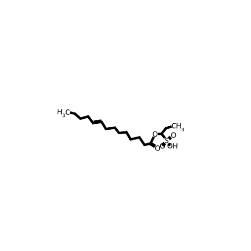 CCCCC=CCCCCCCCC(=O)OC(CC)S(=O)(=O)O